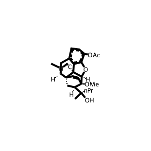 CCC[C@@](C)(O)[C@H]1C[C@@]23C=C[C@]1(OC)[C@@H]1Oc4c(OC(C)=O)ccc5c4[C@@]12CCN(C)[C@@H]3C5